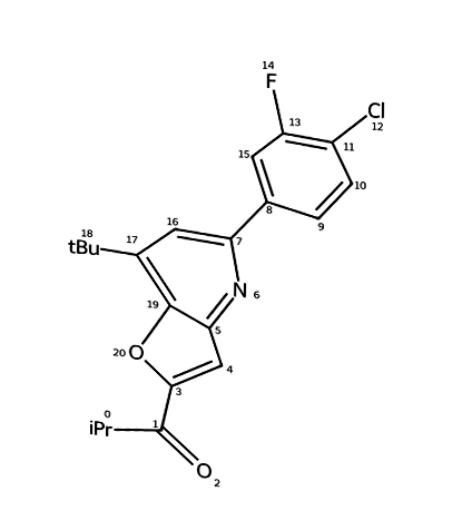 CC(C)C(=O)c1cc2nc(-c3ccc(Cl)c(F)c3)cc(C(C)(C)C)c2o1